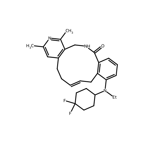 CCN(c1cccc2c1C/C=C/CCc1cc(C)nc(C)c1CNC2=O)C1CCC(F)(F)CC1